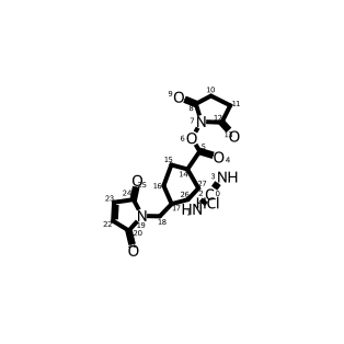 Cl.N=C=N.O=C(ON1C(=O)CCC1=O)C1CCC(CN2C(=O)C=CC2=O)CC1